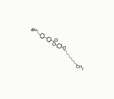 C=CCCCCCCCCCOc1ccc(OC(=O)c2ccc(-c3ccc(CCC(C)CC)cc3)cc2)cc1